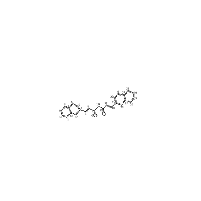 O=C(/C=C/c1ccc2ccccc2c1)CC(=O)/C=C/c1ccc2ccccc2c1